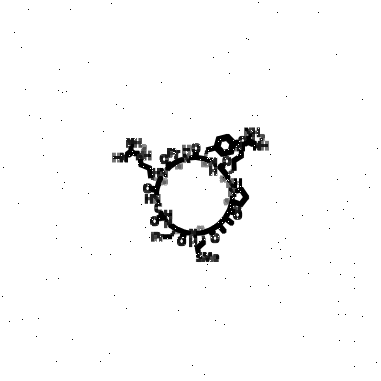 CSCC[C@@H]1NC(=O)[C@H](CC(C)C)NC(=O)CNC(=O)[C@H](CCCNC(=N)N)NC(=O)[C@H](C(C)C)NC(=O)[C@H](Cc2ccc(O)cc2)NC(=O)[C@H](CCCNC(=N)N)NN2CCC[C@H]2C(=O)C(C)C(C)C1=O